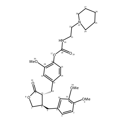 COc1ccc(C[C@H]2COC(=O)[C@@H]2Cc2ccc(OC(=O)NCCN3CCCCC3)c(OC)c2)cc1OC